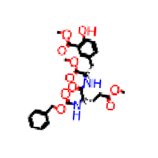 COC(=O)CC[C@H](NC(=O)OCc1ccccc1)C(=O)N[C@@H](Cc1ccc(O)c(C(=O)OC)c1)C(=O)OC